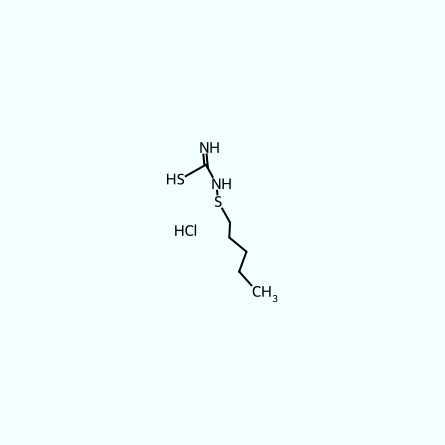 CCCCCSNC(=N)S.Cl